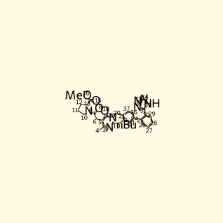 CCCCc1nc(C)c(CC(=O)N2CCCC2C(=O)OC)c(=O)n1Cc1ccc(-c2ccccc2-c2nnn[nH]2)cc1